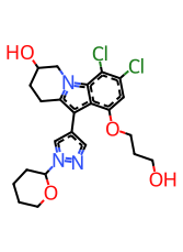 OCCCOc1cc(Cl)c(Cl)c2c1c(-c1cnn(C3CCCCO3)c1)c1n2CC(O)CC1